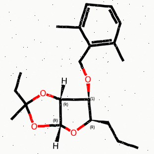 CCC[C@H]1O[C@@H]2OC(C)(CC)O[C@@H]2[C@H]1OCc1c(C)cccc1C